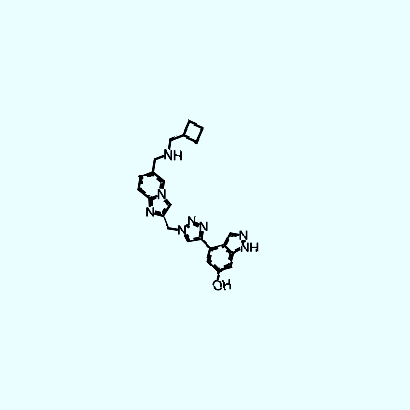 Oc1cc(-c2cn(Cc3cn4cc(CNCC5CCC5)ccc4n3)nn2)c2cn[nH]c2c1